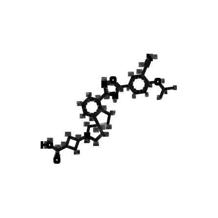 CC(C)Oc1ccc(-c2nc(-c3cccc4c3CC[C@@]43CCN(C4CC(C(=O)O)C4)C3)no2)cc1C#N